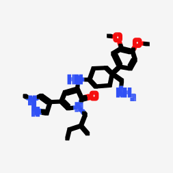 CCC(C)Cn1cc(-c2cnn(C)c2)cc(NC2CCC(CN)(c3ccc(OC)c(OC)c3)CC2)c1=O